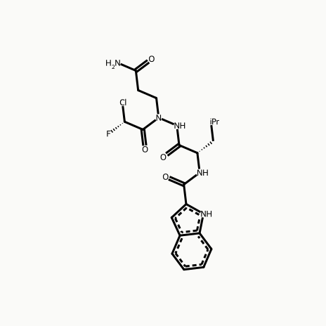 CC(C)C[C@H](NC(=O)c1cc2ccccc2[nH]1)C(=O)NN(CCC(N)=O)C(=O)[C@H](F)Cl